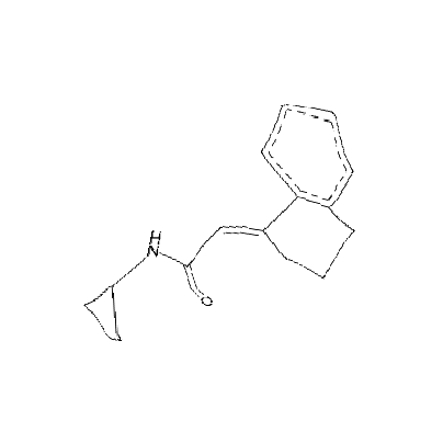 O=C(C=C1CCCc2ccccc21)NC1CC1